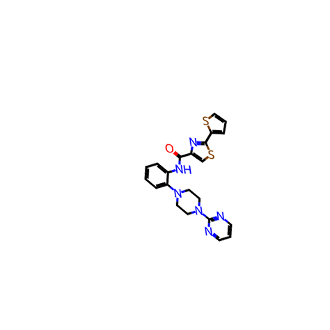 O=C(Nc1ccccc1N1CCN(c2ncccn2)CC1)c1csc(-c2cccs2)n1